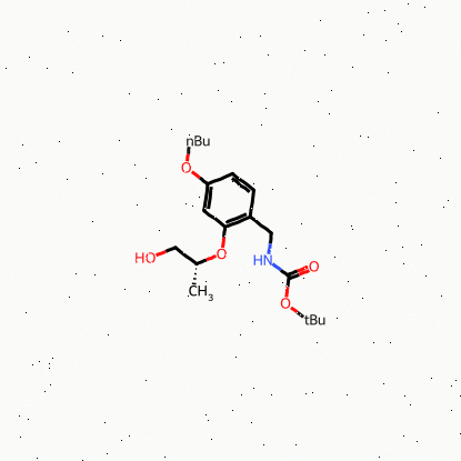 CCCCOc1ccc(CNC(=O)OC(C)(C)C)c(O[C@H](C)CO)c1